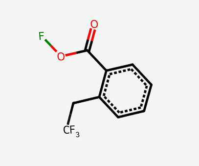 O=C(OF)c1ccccc1CC(F)(F)F